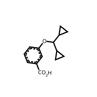 O=C(O)c1cccc(OC(C2CC2)C2CC2)c1